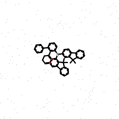 CC1(C)c2ccccc2-c2ccc(N(c3cccc(-c4ccccc4)c3C3=CC=CCC3)c3cccc4c3C(C)(C)c3ccccc3-4)cc21